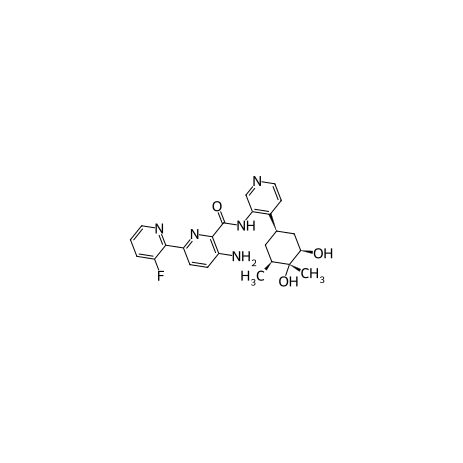 C[C@H]1C[C@@H](c2ccncc2NC(=O)c2nc(-c3ncccc3F)ccc2N)C[C@@H](O)[C@]1(C)O